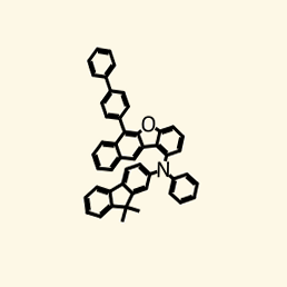 CC1(C)c2ccccc2-c2ccc(N(c3ccccc3)c3cccc4oc5c(-c6ccc(-c7ccccc7)cc6)c6ccccc6cc5c34)cc21